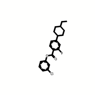 CCC1CCC(c2ccc(C(=O)Oc3cccc(Cl)c3)c(F)c2)CC1